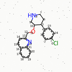 Clc1ccc(C2CCNCC2OCc2ccc3ccccc3n2)cc1